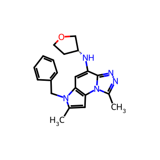 Cc1cc2c(cc(N[C@@H]3CCOC3)c3nnc(C)n32)n1Cc1ccccc1